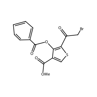 COC(=O)c1csc(C(=O)CBr)c1OC(=O)c1ccccc1